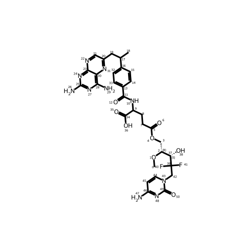 CO[C@H](COC(=O)CCC(NC(=O)c1ccc(C(C)Cc2cnc3nc(N)nc(N)c3n2)cc1)C(=O)O)[C@H](O)C(F)(F)Cn1ccc(N)nc1=O